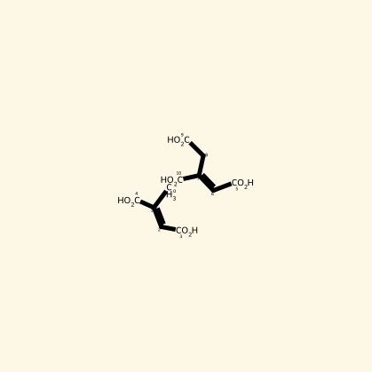 CC(=CC(=O)O)C(=O)O.O=C(O)C=C(CC(=O)O)C(=O)O